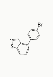 Brc1ccc(-c2cccc3s[c]cc23)cc1